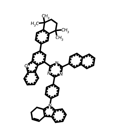 CC1(C)CCC(C)(C)c2cc(-c3cc(-c4nc(-c5ccc(-n6c7c(c8ccccc86)C=CCC7)cc5)nc(-c5ccc6ccccc6c5)n4)c4c(c3)oc3ccccc34)ccc21